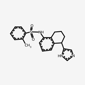 Cc1ccccc1S(=O)(=O)Nc1cccc2c1CCCC2c1cnc[nH]1